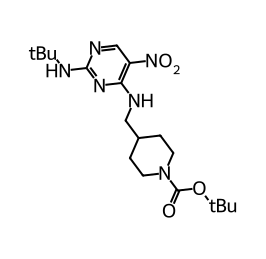 CC(C)(C)Nc1ncc([N+](=O)[O-])c(NCC2CCN(C(=O)OC(C)(C)C)CC2)n1